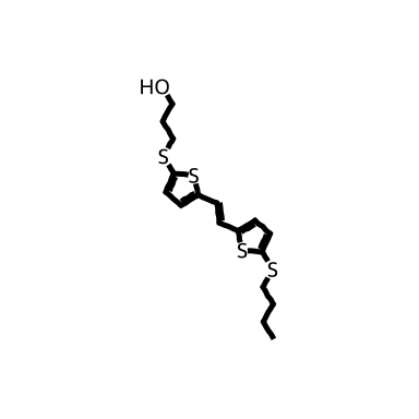 CCCCSc1ccc(C=Cc2ccc(SCCCO)s2)s1